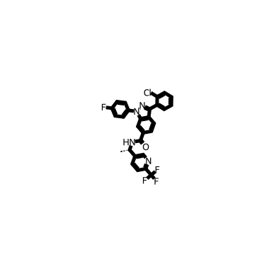 C[C@H](NC(=O)c1ccc2c(-c3ccccc3Cl)nn(-c3ccc(F)cc3)c2c1)c1ccc(C(F)(F)F)nc1